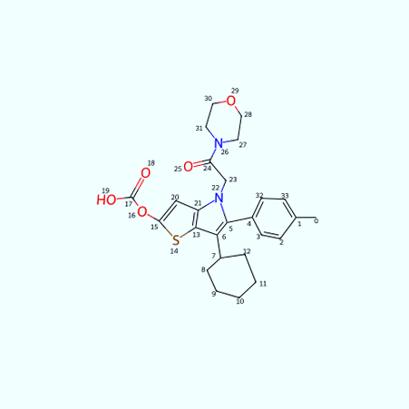 Cc1ccc(-c2c(C3CCCCC3)c3sc(OC(=O)O)cc3n2CC(=O)N2CCOCC2)cc1